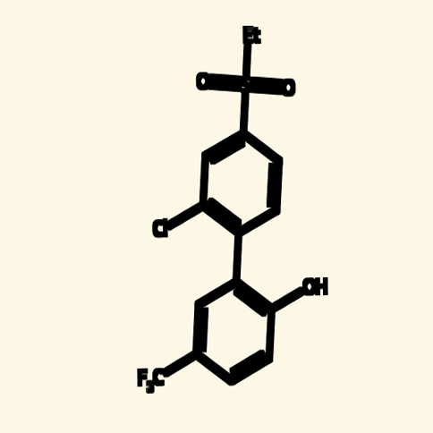 CCS(=O)(=O)c1ccc(-c2cc(C(F)(F)F)ccc2O)c(Cl)c1